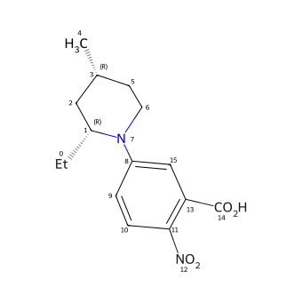 CC[C@@H]1C[C@H](C)CCN1c1ccc([N+](=O)[O-])c(C(=O)O)c1